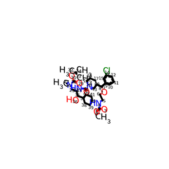 COC(=O)NCCO[C@@H](c1cccc(Cl)c1)[C@@H]1CCCN(C(=O)NC(CN(C)C(=O)OC(C)(C)C)C(O)C2CCCCC2)C1